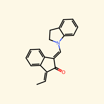 C/C=C1/C(=O)/C(=C/N2CCc3ccccc32)c2ccccc21